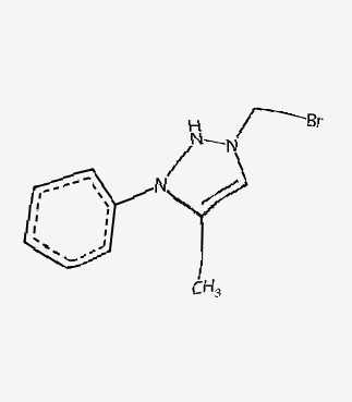 CC1=CN(CBr)NN1c1ccccc1